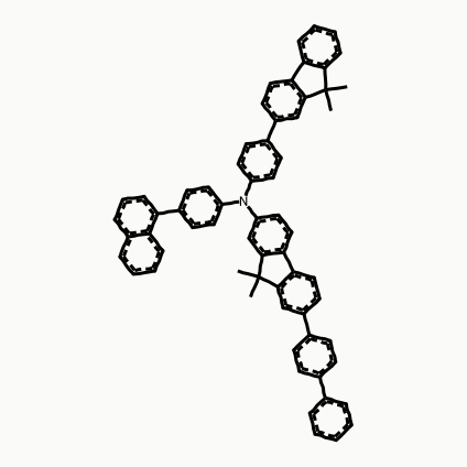 CC1(C)c2ccccc2-c2ccc(-c3ccc(N(c4ccc(-c5cccc6ccccc56)cc4)c4ccc5c(c4)C(C)(C)c4cc(-c6ccc(-c7ccccc7)cc6)ccc4-5)cc3)cc21